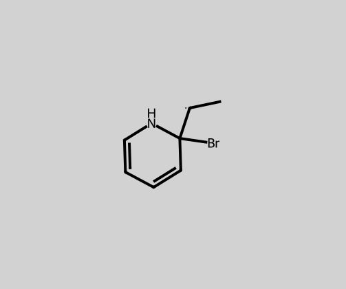 C[CH]C1(Br)C=CC=CN1